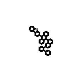 c1ccc(-c2ccccc2-c2ccc3cccc(-c4c5ccccc5c(-c5ccc6c(c5)oc5ccccc56)c5ccccc45)c3c2)cc1